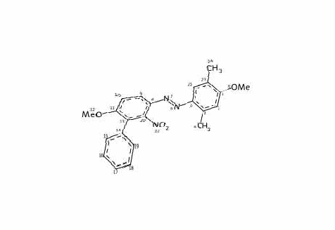 COc1cc(C)c(N=Nc2ccc(OC)c(-c3ccccc3)c2[N+](=O)[O-])cc1C